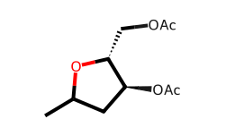 CC(=O)OC[C@H]1OC(C)C[C@@H]1OC(C)=O